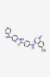 C=Nc1ccc(C#N)cc1/C(=C\C)Nc1ccc(C(=O)Nc2ccc(Nc3ccncc3)cn2)cc1